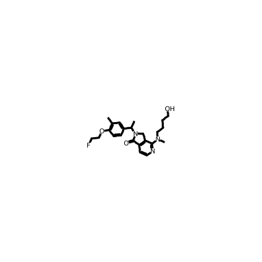 Cc1cc(C(C)N2Cc3c(ccnc3N(C)CCCCO)C2=O)ccc1OCCF